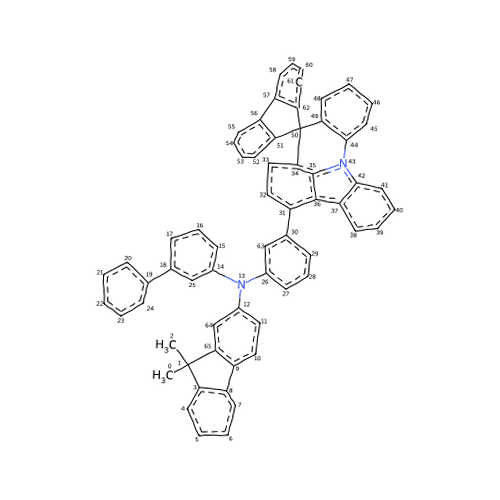 CC1(C)c2ccccc2-c2ccc(N(c3cccc(-c4ccccc4)c3)c3cccc(-c4ccc5c6c4c4ccccc4n6-c4ccccc4C54c5ccccc5-c5ccccc54)c3)cc21